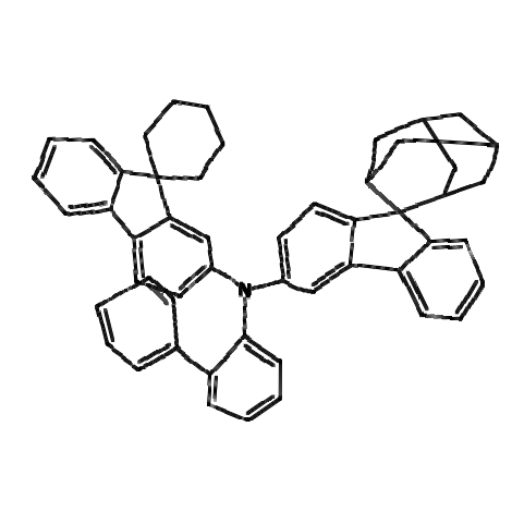 c1ccc(-c2ccccc2N(c2ccc3c(c2)-c2ccccc2C32C3CC4CC(C3)CC2C4)c2ccc3c(c2)C2(CCCCC2)c2ccccc2-3)cc1